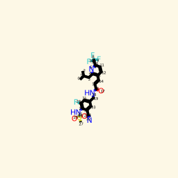 CC(C)Cc1nc(C(F)(F)F)ccc1/C=C/C(=O)NCc1cc(F)c(NS(C)(=O)=O)c(C#N)c1